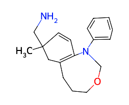 CC1(CN)C=CC2=C(CCCOCN2c2ccccc2)C1